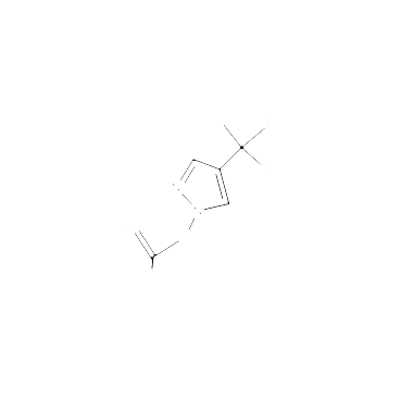 CC(=O)On1cc(C(F)(F)F)cn1